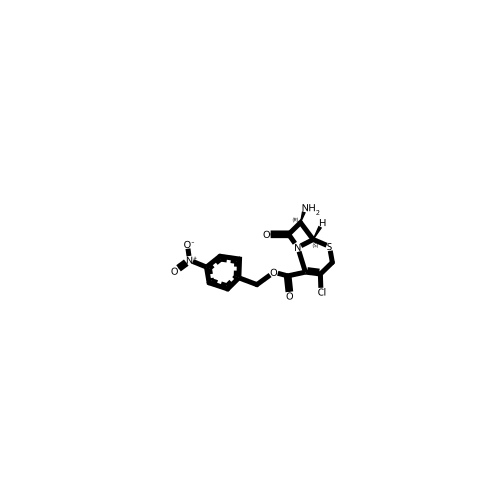 N[C@@H]1C(=O)N2C(C(=O)OCc3ccc([N+](=O)[O-])cc3)=C(Cl)CS[C@@H]12